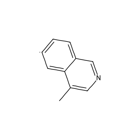 Cc1cncc2cc[c]cc12